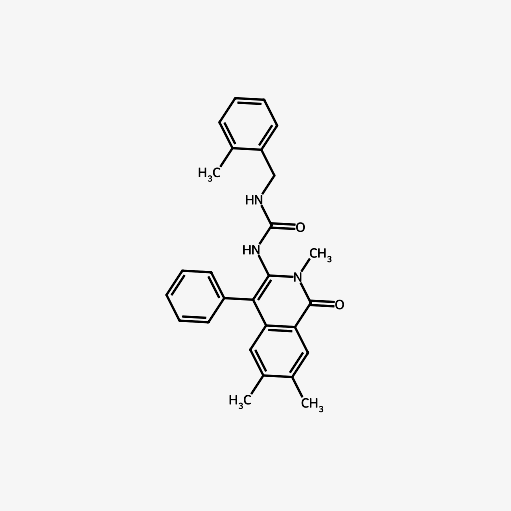 Cc1cc2c(-c3ccccc3)c(NC(=O)NCc3ccccc3C)n(C)c(=O)c2cc1C